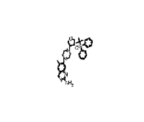 Cc1cc2cnc(N)nc2cc1N1CCN([C@H]2COC[C@H]2O[Si](c2ccccc2)(c2ccccc2)C(C)(C)C)CC1